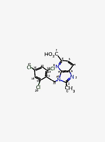 Cc1nc2ccc(C(=O)O)nc2n1Cc1c(Cl)cc(Cl)cc1Cl